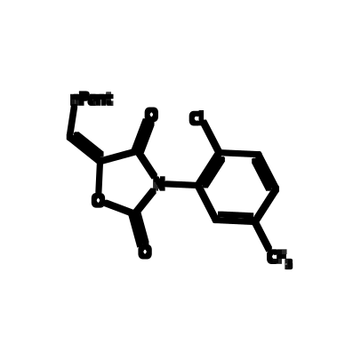 CCCCCC=C1OC(=O)N(c2cc(C(F)(F)F)ccc2Cl)C1=O